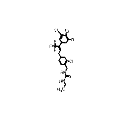 CCNC(=S)NCc1ccc(CC=C(c2cc(Cl)c(Cl)c(Cl)c2)C(F)(F)F)cc1Cl